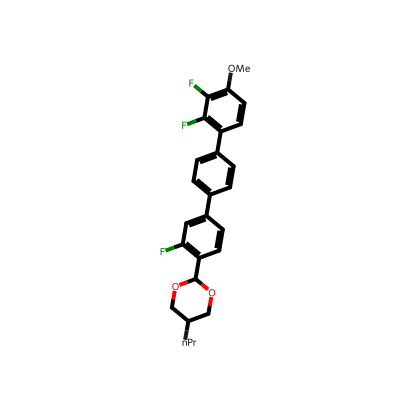 CCCC1COC(c2ccc(-c3ccc(-c4ccc(OC)c(F)c4F)cc3)cc2F)OC1